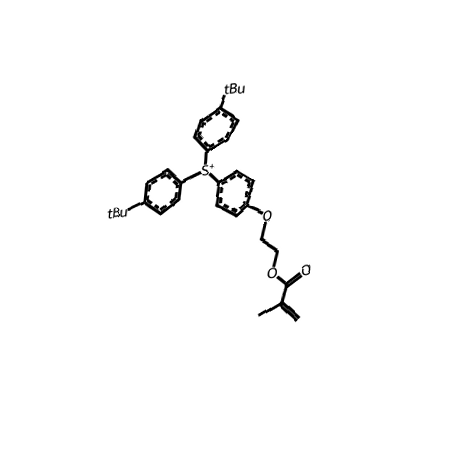 C=C(C)C(=O)OCCOc1ccc([S+](c2ccc(C(C)(C)C)cc2)c2ccc(C(C)(C)C)cc2)cc1